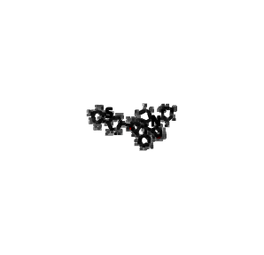 c1ccc(N2c3ccccc3C3(c4ccccc4-c4cc(-c5ccc6c(c5)sc5ccccc56)ccc43)c3ccccc32)cc1